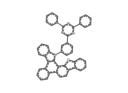 c1ccc(-c2nc(-c3ccccc3)nc(-c3cccc(-n4c5ccccc5c5c6ccccc6c6ccc7c8ccccc8oc7c6c54)c3)n2)cc1